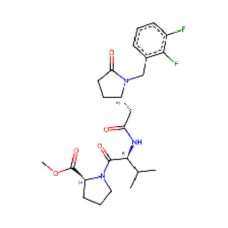 COC(=O)[C@@H]1CCCN1C(=O)[C@@H](NC(=O)C[C@@H]1CCC(=O)N1Cc1cccc(F)c1F)C(C)C